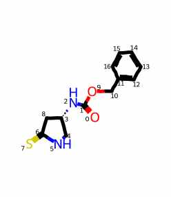 O=C(N[C@@H]1CNC(=S)C1)OCc1ccccc1